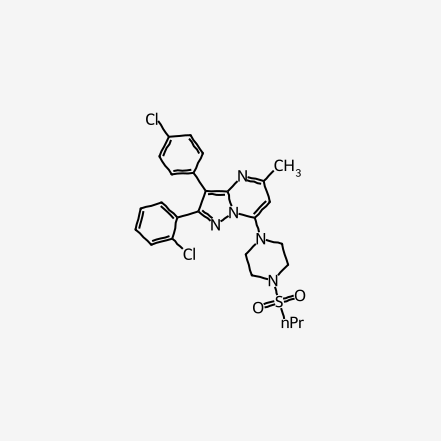 CCCS(=O)(=O)N1CCN(c2cc(C)nc3c(-c4ccc(Cl)cc4)c(-c4ccccc4Cl)nn23)CC1